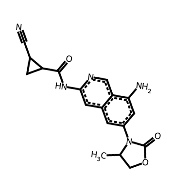 CC1COC(=O)N1c1cc(N)c2cnc(NC(=O)C3CC3C#N)cc2c1